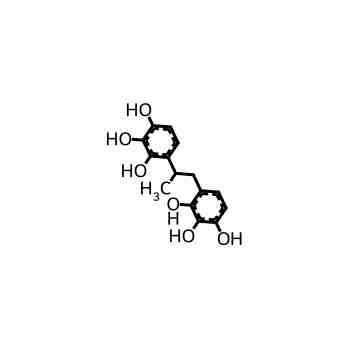 CC(Cc1ccc(O)c(O)c1O)c1ccc(O)c(O)c1O